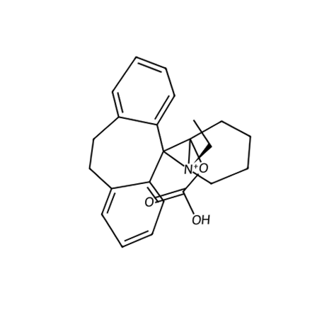 CC[N@+]12CCCCC1(OC(=O)O)C21c2ccccc2CCc2ccccc21